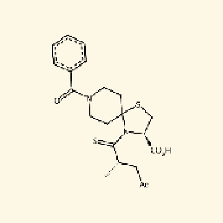 CC(=O)C[C@H](C)C(=S)N1[C@H](C(=O)O)CSC12CCN(C(=O)c1ccccc1)CC2